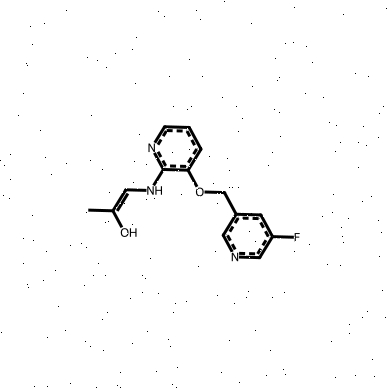 CC(O)=CNc1ncccc1OCc1cncc(F)c1